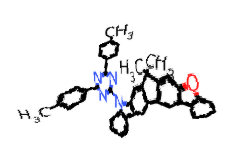 Cc1ccc(-c2nc(-c3ccc(C)cc3)nc(-n3c4ccccc4c4cc5c(cc43)C(C)(C)c3cc4oc6ccccc6c4cc3-5)n2)cc1